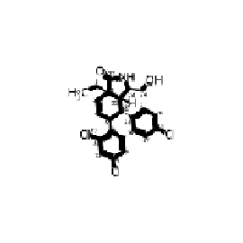 CC[C@]12C=C[C@H](c3ccc(Cl)cc3Cl)[C@@H](c3ccc(Cl)cc3)[C@H]1[C@H](CO)NC2=O